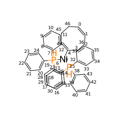 C1=CCC[C]([Ni]([PH](c2ccccc2)(c2ccccc2)c2ccccc2)[PH](c2ccccc2)(c2ccccc2)c2ccccc2)=CCC1